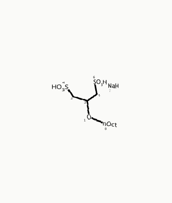 CCCCCCCCOC(CS(=O)(=O)O)CS(=O)(=O)O.[NaH]